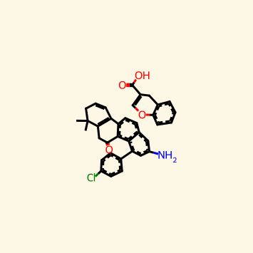 CC1(C)CC=CC2=C1CC(=O)c1c2ccc2cc(N)cc(-c3ccc(Cl)cc3)c12.O=C(O)C1=COc2ccccc2C1